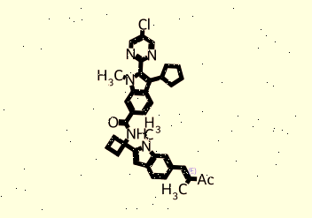 CC(=O)/C(C)=C/c1ccc2cc(C3(NC(=O)c4ccc5c(C6CCCC6)c(-c6ncc(Cl)cn6)n(C)c5c4)CCC3)n(C)c2c1